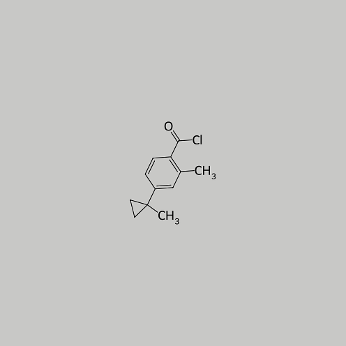 Cc1cc(C2(C)CC2)ccc1C(=O)Cl